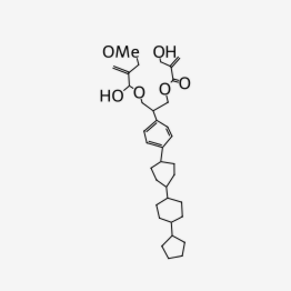 C=C(CO)C(=O)OCC(COC(O)C(=C)COC)c1ccc(C2CCC(C3CCC(C4CCCC4)CC3)CC2)cc1